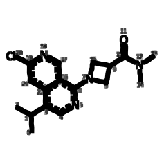 CC(C)c1cnc(N2CC(C(=O)N(C)C)C2)c2cnc(Cl)cc12